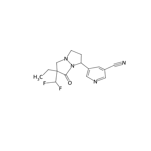 CCC1(C(F)F)CN2CCC(c3cncc(C#N)c3)N2C1=O